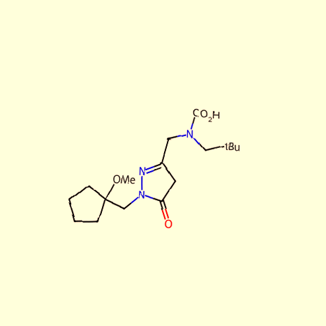 COC1(CN2N=C(CN(CC(C)(C)C)C(=O)O)CC2=O)CCCC1